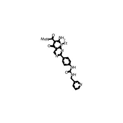 CCn1c(N)c(C(=O)NC)c(=O)c2cnc(-c3ccc(NC(=O)NCc4cccnc4)cc3)nc21